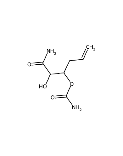 C=CCC(OC(N)=O)C(O)C(N)=O